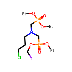 CCOP(=O)(CN(CCCCl)CP(=O)(OCC)OCI)OCC